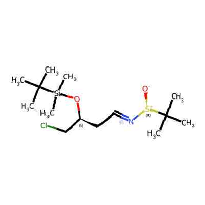 CC(C)(C)[S@+]([O-])/N=C/C[C@@H](CCl)O[Si](C)(C)C(C)(C)C